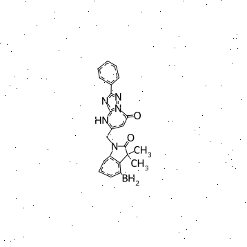 Bc1cccc2c1C(C)(C)C(=O)N2Cc1cc(=O)n2nc(-c3ccccc3)nc2[nH]1